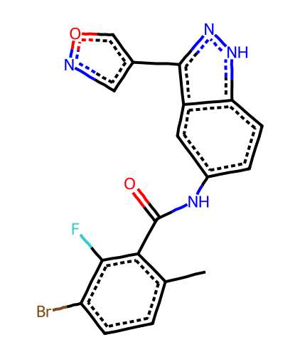 Cc1ccc(Br)c(F)c1C(=O)Nc1ccc2[nH]nc(-c3cnoc3)c2c1